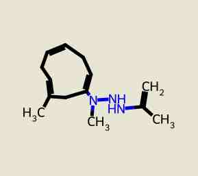 C=C(C)NNN(C)C1=CC/C=C\C/C=C(\C)C1